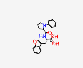 O=C(N[C@@H](Cc1coc2ccccc12)B(O)O)C1CCCN1c1ccccc1